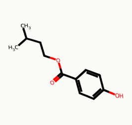 CC(C)CCOC(=O)c1ccc(O)cc1